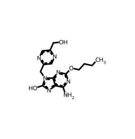 CCCCOc1nc(N)c2nc(O)n(Cc3cnc(CO)cn3)c2n1